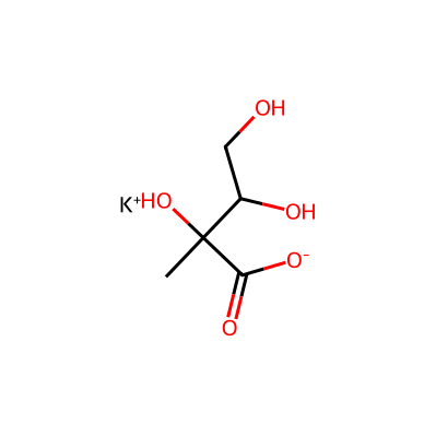 CC(O)(C(=O)[O-])C(O)CO.[K+]